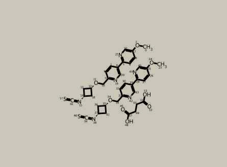 COc1ccc(-c2ccc(CO[C@H]3C[C@@H](N=C=S)C3)nc2)nc1.COc1ccc(-c2ccc(CO[C@H]3C[C@@H](N=C=S)C3)nc2)nc1.O=C(O)CCC(=O)O